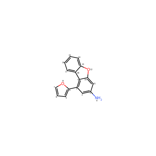 Nc1cc(-c2ccco2)c2c(c1)oc1ccccc12